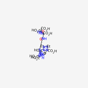 CCN1CCN(CC)CCN(CC(=O)O)C(Cc2ccc(Nc3nc(N4CCN(CCCCCCCCCCC(=O)NCCCC[C@H](NC(=O)N[C@@H](CCC(=O)O)C(=O)O)C(=O)O)CC4)nc(N(CC(=O)O)CC(=O)O)n3)cc2)CN(CC(=O)O)CC1